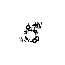 C=CC1CC1(NC(=O)[C@@H]1C[C@@H]2CN1C(=O)[C@H](C1CCCCC1)NC(=O)OCC(C)(C)CCCc1ccc3ccnc(c3c1)O2)P(=O)(O)O